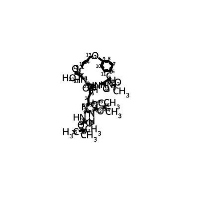 CC(=O)N[C@H]1Cc2ccc(cc2)OCC=CC[C@@H](C(=O)O)NC(=O)[C@H](CCCCN=C(NC(=O)OC(C)(C)C)NC(=O)OC(C)(C)C)NC1=O